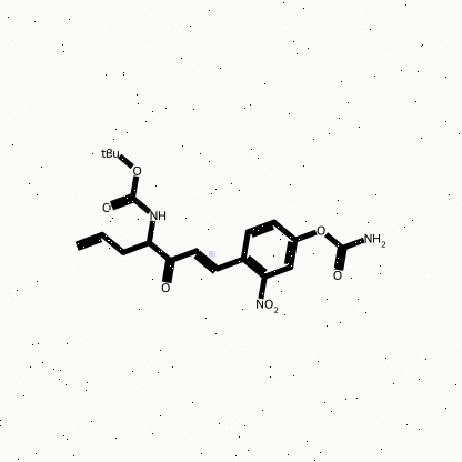 C=CCC(NC(=O)OC(C)(C)C)C(=O)/C=C/c1ccc(OC(N)=O)cc1[N+](=O)[O-]